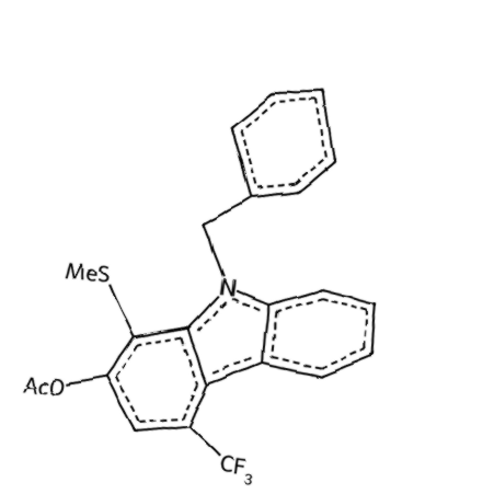 CSc1c(OC(C)=O)cc(C(F)(F)F)c2c3ccccc3n(Cc3ccccc3)c12